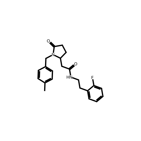 Cc1ccc(CN2C(=O)CCC2CC(=O)NCCc2ccccc2F)cc1